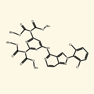 CC(C)(C)OC(=O)N(C(=O)OC(C)(C)C)c1cc(Nc2nccc3nn(-c4c(Cl)cccc4Cl)cc23)nc(N(C(=O)OC(C)(C)C)C(=O)OC(C)(C)C)n1